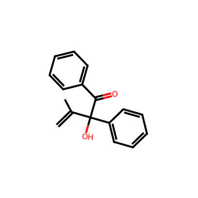 C=C(C)C(O)(C(=O)c1ccccc1)c1ccccc1